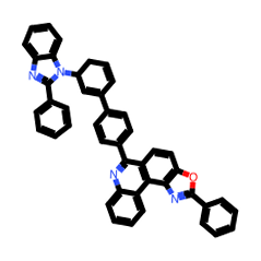 C1=CC(c2ccc(-c3nc4ccccc4c4c3ccc3oc(-c5ccccc5)nc34)cc2)=CC(n2c(-c3ccccc3)nc3ccccc32)C1